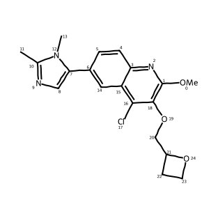 COc1nc2ccc(-c3cnc(C)n3C)cc2c(Cl)c1OCC1CCO1